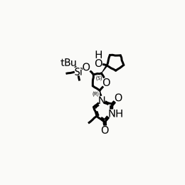 Cc1cn([C@H]2CC(O[Si](C)(C)C(C)(C)C)[C@@H](C3(O)CCCC3)O2)c(=O)[nH]c1=O